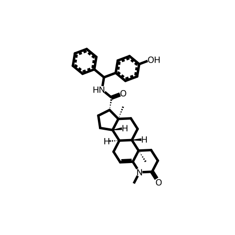 CN1C(=O)CC[C@@]2(C)C1=CC[C@H]1[C@@H]3CC[C@H](C(=O)NC(c4ccccc4)c4ccc(O)cc4)[C@@]3(C)CC[C@@H]12